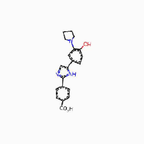 O=C(O)c1ccc(-c2ncc(-c3ccc(O)c(N4CCCC4)c3)[nH]2)cc1